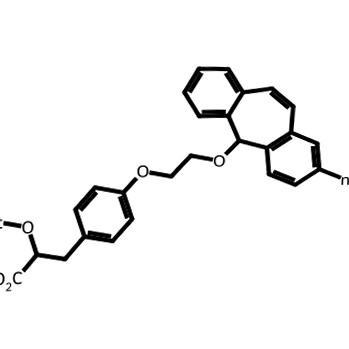 CCCc1ccc2c(c1)C=Cc1ccccc1C2OCCOc1ccc(CC(OCC)C(=O)O)cc1